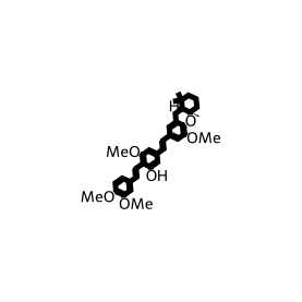 COc1ccc(/C=C/c2c(O)cc(/C=C/c3cc4c(c(OC)c3)O[C@]3(C)CCCC(C)(C)[C@H]3C4)cc2OC)cc1OC